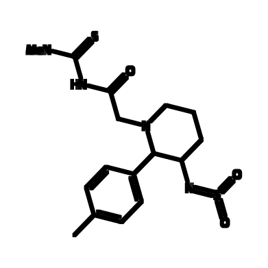 CNC(=S)NC(=O)CN1CCCC(N=S(=O)=O)C1c1ccc(C)cc1